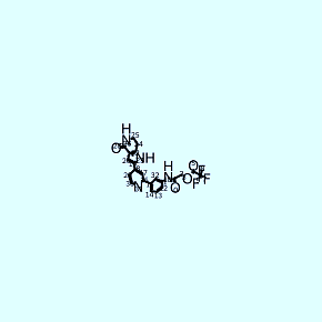 O=C(COC(=O)C(F)(F)F)Nc1cccc(-c2cc(-c3cc4c([nH]3)CCNC4=O)ccn2)c1